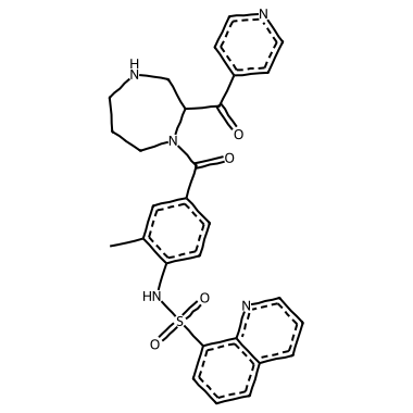 Cc1cc(C(=O)N2CCCNCC2C(=O)c2ccncc2)ccc1NS(=O)(=O)c1cccc2cccnc12